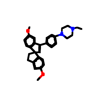 CCN1CCN(c2ccc(C3=CC4(CCc5cc(OC)ccc54)c4ccc(OC)cc43)cc2)CC1